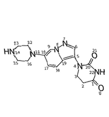 O=C1CCN(c2cnn3cc(N4CCNCC4)ccc23)C(=O)N1